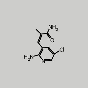 CC(=Cc1cc(Cl)cnc1N)C(N)=O